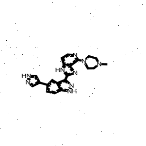 CN1CCN(c2nccc3[nH]c(-c4n[nH]c5ccc(-c6cn[nH]c6)cc45)nc23)CC1